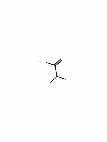 CCC(F)C(=O)OC